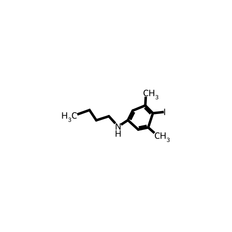 CCCCNc1cc(C)c(I)c(C)c1